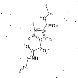 C=CCNC(=O)C(=O)c1c(C)c(C(=O)OCC)n(C)c1C